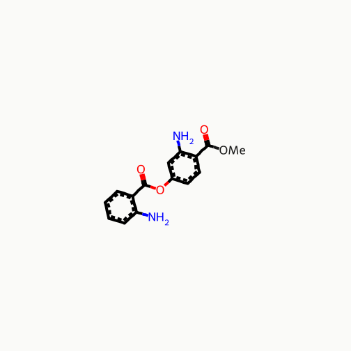 COC(=O)c1ccc(OC(=O)c2ccccc2N)cc1N